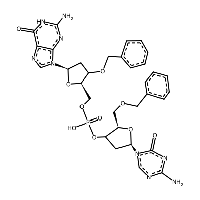 Nc1ncn([C@H]2CC(OP(=O)(O)OC[C@H]3O[C@@H](n4cnc5c(=O)[nH]c(N)nc54)CC3OCc3ccccc3)[C@@H](COCc3ccccc3)O2)c(=O)n1